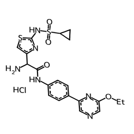 CCOc1cncc(-c2ccc(NC(=O)C(N)c3csc(NS(=O)(=O)C4CC4)n3)cc2)n1.Cl